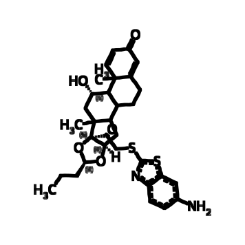 CCC[C@@H]1O[C@@H]2CC3C4CCC5=CC(=O)C=CC5(C)C4[C@@H](O)CC3(C)[C@]2(C(=O)CSc2nc3ccc(N)cc3s2)O1